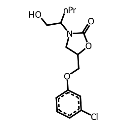 CCCC(CO)N1CC(COc2cccc(Cl)c2)OC1=O